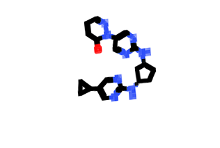 O=c1cccnn1-c1cnc(N[C@H]2CC[C@H](Nc3ncc(C4CC4)cn3)C2)nc1